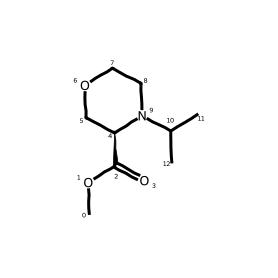 COC(=O)[C@H]1COCCN1C(C)C